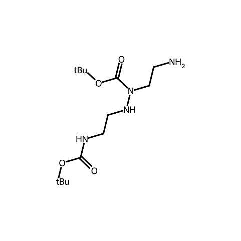 CC(C)(C)OC(=O)NCCNN(CCN)C(=O)OC(C)(C)C